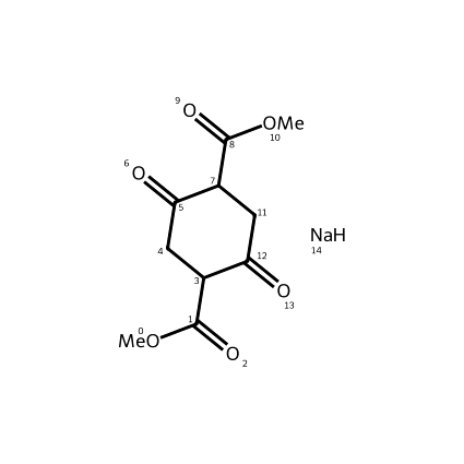 COC(=O)C1CC(=O)C(C(=O)OC)CC1=O.[NaH]